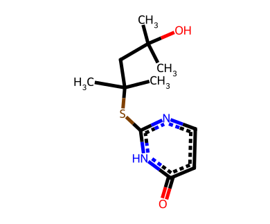 CC(C)(O)CC(C)(C)Sc1nccc(=O)[nH]1